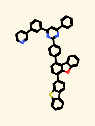 c1ccc(-c2cc(-c3cccc(-c4cccnc4)c3)nc(-c3ccc(-c4ccc(-c5ccc6c(c5)sc5ccccc56)c5oc6ccccc6c45)cc3)n2)cc1